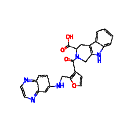 O=C(O)C1Cc2c([nH]c3ccccc23)CN1C(=O)c1ccoc1CNc1ccc2nccnc2c1